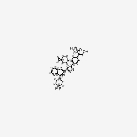 NS(=O)(=O)C(CO)c1ccc(-c2nnc(-c3cc4cccnc4c(N4CCC(F)(F)CC4)n3)o2)c(N2CCC3(CC2)CC3)c1